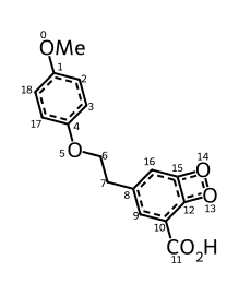 COc1ccc(OCCc2cc(C(=O)O)c3ooc3c2)cc1